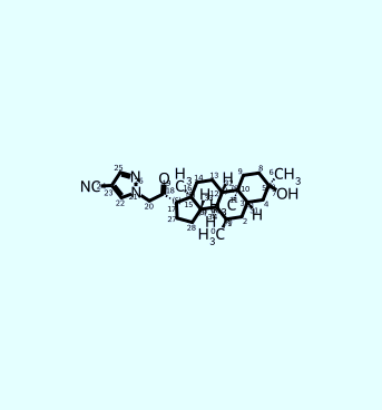 C[C@@H]1C[C@H]2C[C@](C)(O)CC[C@]2(C)[C@H]2CC[C@]3(C)[C@@H](C(=O)Cn4cc(C#N)cn4)CC[C@H]3[C@H]12